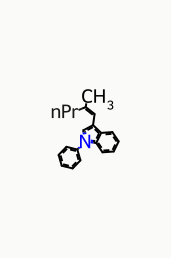 CCC/C(C)=C\c1cn(-c2ccccc2)c2ccccc12